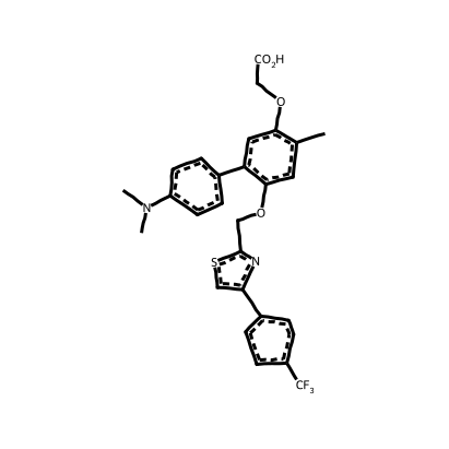 Cc1cc(OCc2nc(-c3ccc(C(F)(F)F)cc3)cs2)c(-c2ccc(N(C)C)cc2)cc1OCC(=O)O